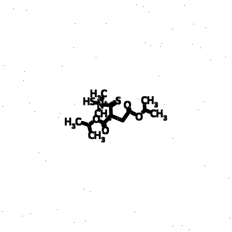 CC(C)OC(=O)CC(C(=O)OC(C)C)C(=S)[N+](C)(C)S